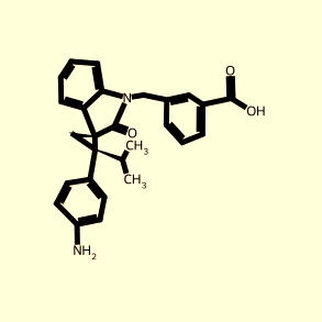 CC(C)[C@@]1(c2ccc(N)cc2)C[C@@]12C(=O)N(Cc1cccc(C(=O)O)c1)c1ccccc12